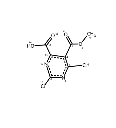 COC(=O)c1c(Cl)nc(Cl)nc1C(=O)O